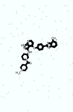 Cc1cccc2nc(-c3ccc(Oc4ccnc5[nH]nc(N[C@@H]6CCCN(C(=O)C7CCN(C)CC7)C6)c45)cc3)sc12